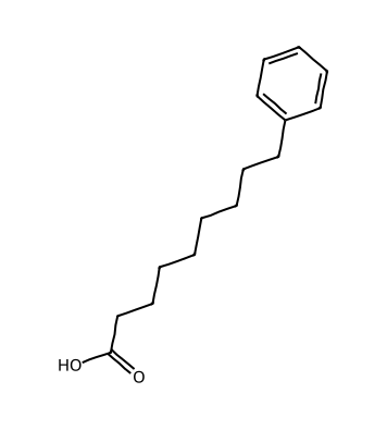 O=C(O)CCCCCCCCc1ccccc1